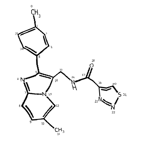 Cc1ccc(-c2nc3ccc(C)cn3c2CNC(=O)c2csnn2)cc1